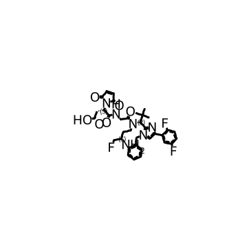 CC(C)(C)[C@H](c1nc(-c2cc(F)ccc2F)cn1Cc1ccccc1)N(CC[C@H](N)CF)C(=O)CNC(=O)[C@H](CC(=O)O)N1C(=O)C=CC1=O